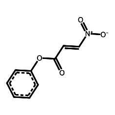 O=C(C=C[N+](=O)[O-])Oc1ccccc1